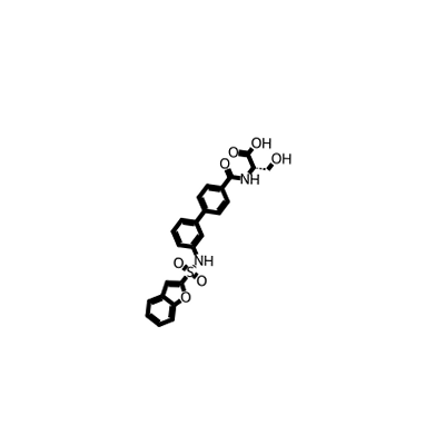 O=C(N[C@@H](CO)C(=O)O)c1ccc(-c2cccc(NS(=O)(=O)c3cc4ccccc4o3)c2)cc1